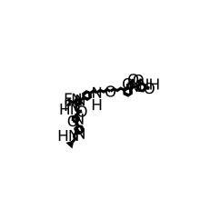 O=C1CCC(n2c(=O)oc3c(CCCOCCCNCc4ccc(-n5cc(NC(=O)c6coc(-c7ccnc(NCC8CC8)c7)n6)c(C(F)F)n5)cc4)cccc32)C(=O)N1